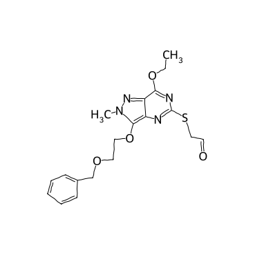 CCOc1nc(SCC=O)nc2c(OCCOCc3ccccc3)n(C)nc12